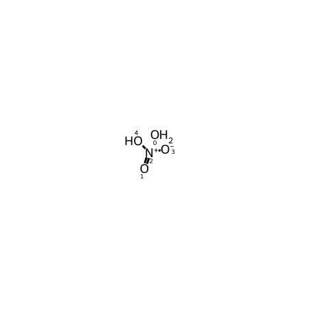 O.O=[N+]([O-])O